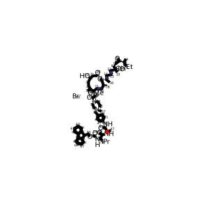 CCC(O)C(C)[C@@H]1O[C@H]1CC(C)(O)/C=C/C=C(\C)[C@H]1OC(=O)C[C@H](O)CC[C@@](C)(OC)[C@@H](OC(=O)N2CC[N+](C)(Cc3ccc(NC(=O)C(C)NC(=O)C(NC(=O)OCC4c5ccccc5-c5ccccc54)C(C)C)cc3)CC2)/C=C/[C@@H]1C.[Br-]